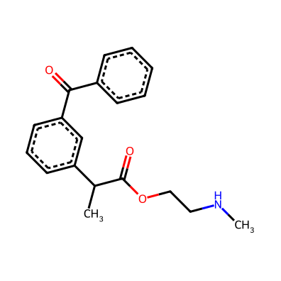 CNCCOC(=O)C(C)c1cccc(C(=O)c2ccccc2)c1